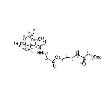 CCCCCCCCCCCC(=O)NCCCOC(=O)CCNC(=O)C1OC(C)(C)OCC1(C)C